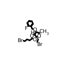 C[C@H]1O[C@]2(CCBr)OC(CCCBr)O[C@@H]2[C@H]1OCc1ccccc1F